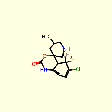 CC1CNCC2(C1)OC(=O)NC1=CC=C(Cl)C(C)(F)C12